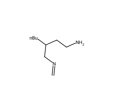 C=NCC(CCN)CCCC